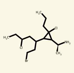 CCCC1(Cl)C(C(CCBr)CC(Cl)CC)C1[C@H](C)N